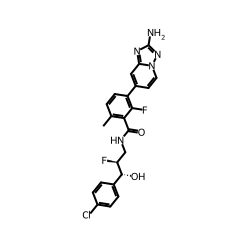 Cc1ccc(-c2ccn3nc(N)nc3c2)c(F)c1C(=O)NC[C@H](F)[C@H](O)c1ccc(Cl)cc1